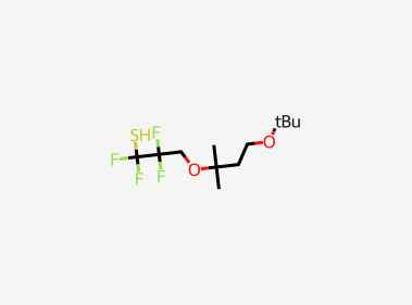 CC(C)(C)OCCC(C)(C)OCC(F)(F)C(F)(F)S